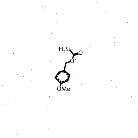 COc1ccc(COC(=O)[SiH2])cc1